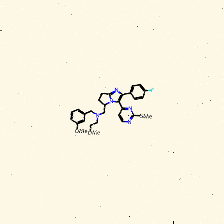 COCCN(Cc1cccc(OC)c1)CC1CCc2nc(-c3ccc(F)cc3)c(-c3ccnc(SC)n3)n21